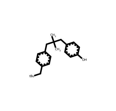 CC(C)(C)Cc1ccc(CC(C)(C)Cc2ccc(O)cc2)cc1